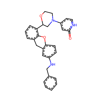 O=c1cc(N2CCOC(c3cccc4c3Oc3ccc(NCc5ccccc5)cc3C4)C2)cc[nH]1